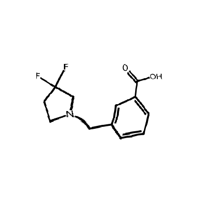 O=C(O)c1cccc(CN2CCC(F)(F)C2)c1